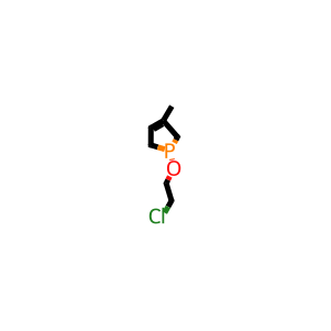 CC1=CCP(OCCCl)C1